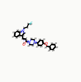 O=C(/C=C/c1cn(CCCF)c2ccccc12)N1CCN(c2ccc(OCc3ccccc3)cc2)CC1